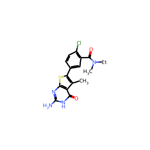 CCN(C)C(=O)c1cc(-c2sc3nc(N)[nH]c(=O)c3c2C)ccc1Cl